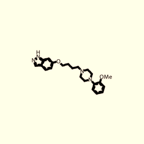 COc1ccccc1N1CCN(CCCCOc2ccc3cn[nH]c3c2)CC1